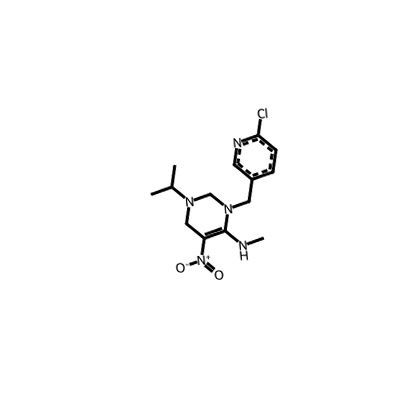 CNC1=C([N+](=O)[O-])CN(C(C)C)CN1Cc1ccc(Cl)nc1